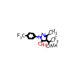 COC(C1C(C)=NN(c2ccc(C(F)(F)F)cc2)C1O)C(F)(F)F